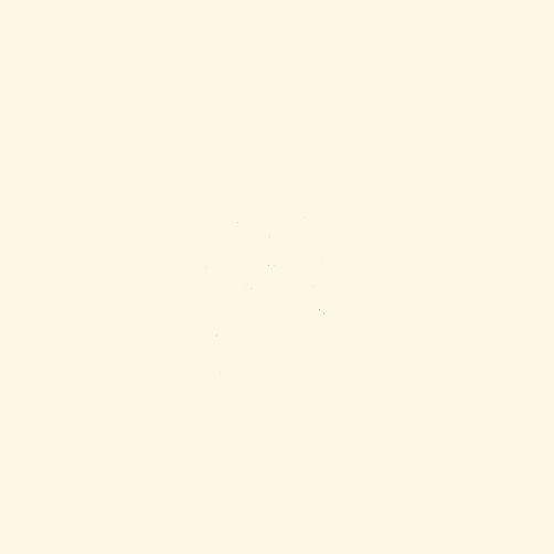 CCN.O=C(C(=O)c1ccccc1)c1ccccc1